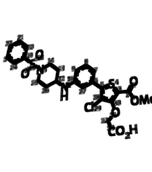 COC(=O)c1sc(-c2cccc(NC3CCN(S(=O)(=O)c4ccccc4)CC3)c2)c(Cl)c1OCC(=O)O